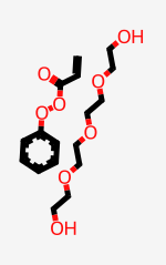 C=CC(=O)OOc1ccccc1.OCCOCCOCCOCCO